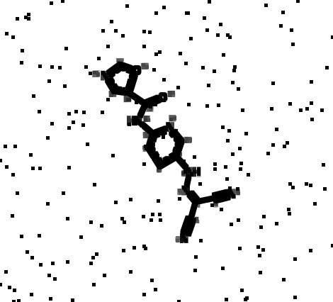 N#CC(C#N)=NNc1ccc(NC(=O)c2cnco2)nc1